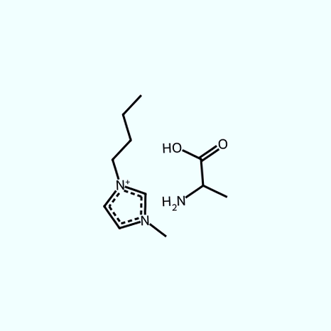 CC(N)C(=O)O.CCCC[n+]1ccn(C)c1